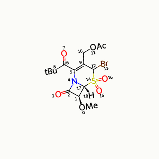 CO[C@H]1C(=O)N2C(C(=O)C(C)(C)C)=C(COC(C)=O)C(Br)S(=O)(=O)[C@H]12